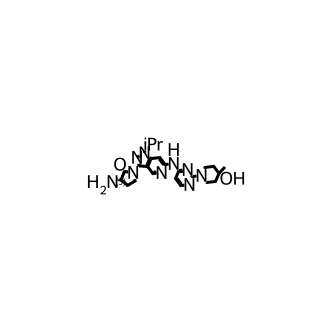 CC(C)n1nc(N2CC[C@H](N)C2=O)c2cnc(Nc3ccnc(N4CCC(C)(O)CC4)n3)cc21